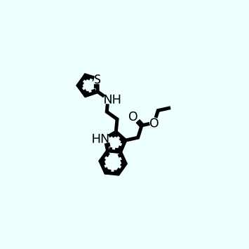 CCOC(=O)Cc1c(CCNc2cccs2)[nH]c2ccccc12